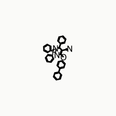 N#CC1=C(Oc2ccc(-c3ccccc3)cc2)N=P(c2ccccc2)(c2ccccc2)N=C1c1ccccc1